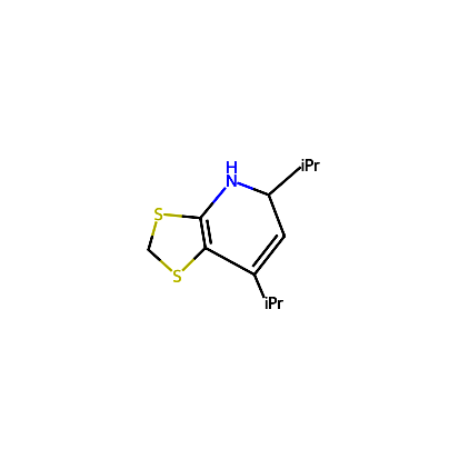 CC(C)C1=CC(C(C)C)NC2=C1SCS2